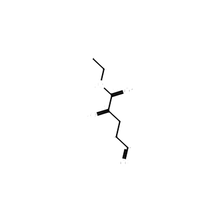 CCOC(=O)C(=O)CCC=O